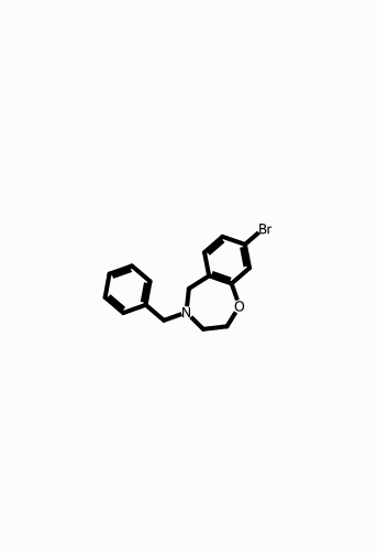 Brc1ccc2c(c1)OCCN(Cc1ccccc1)C2